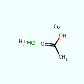 CC(=O)O.Cl.[Co].[InH3]